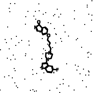 O=C1N=Cc2cc(OCCCCN3CCN(c4csc5ccc(F)cc45)CC3)ccc21